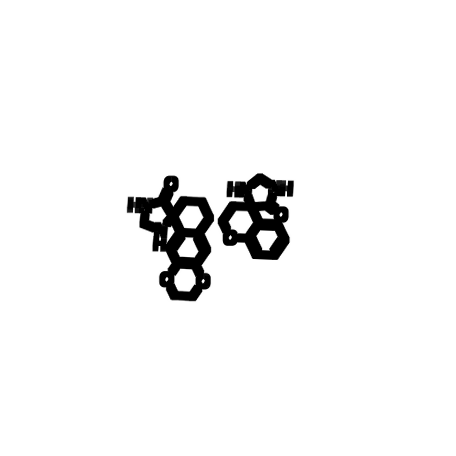 O=C1NCNC12CCCc1cc3c(cc12)OCCO3.O=C1NCNC12CCOc1ccccc12